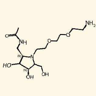 CC(=O)NC[C@@H]1C(O)[C@H](O)C(CO)N1CCOCCOCCN